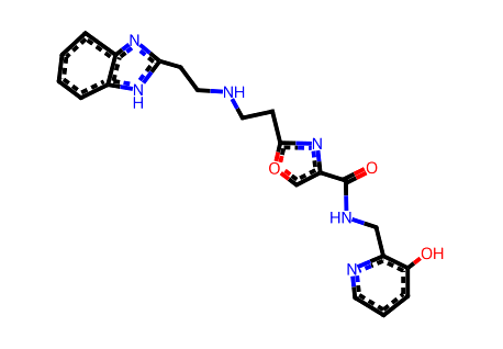 O=C(NCc1ncccc1O)c1coc(CCNCCc2nc3ccccc3[nH]2)n1